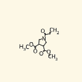 C=CC(=O)N1CC(C(=O)OC)C(C(=O)OC)C1